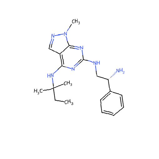 CCC(C)(C)Nc1nc(NC[C@H](N)c2ccccc2)nc2c1cnn2C